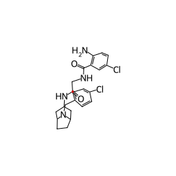 Nc1ccc(Cl)cc1C(=O)NCC(=O)NC1CC2CCC(C1)N2Cc1ccc(Cl)cc1